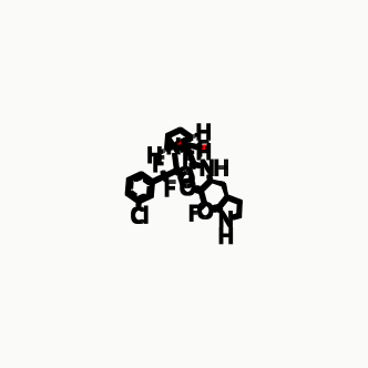 O=C1NCC[C@@H]1C[C@H](NC(=O)[C@@H]1[C@@H]2CC[C@@H](CC2(F)F)N1C(=O)C(F)(F)c1cccc(Cl)c1)C(=O)CF